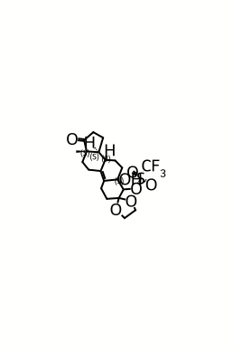 C[C@]12CCC3=C4CCC5(OCCO5)C(OS(=O)(=O)C(F)(F)F)[C@]4(O)CC[C@H]3[C@@H]1CCC2=O